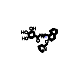 O=C(N/N=C/c1c(OCc2ccccn2)ccc2c#cccc12)c1cc(O)c(O)c(O)c1